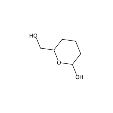 OCC1CCCC(O)O1